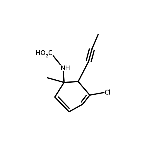 CC#CC1C(Cl)=CC=CC1(C)NC(=O)O